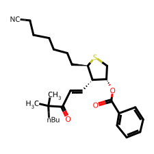 CCCCC(C)(C)C(=O)C=C[C@H]1[C@@H](OC(=O)c2ccccc2)CS[C@@H]1CCCCCCC#N